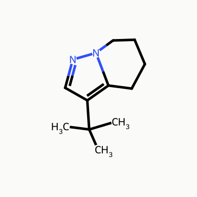 CC(C)(C)c1cnn2c1CCCC2